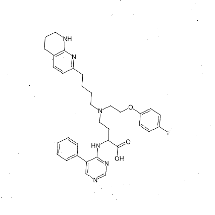 O=C(O)C(CCN(CCCCc1ccc2c(n1)NCCC2)CCOc1ccc(F)cc1)Nc1ncncc1-c1ccccc1